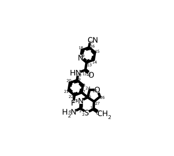 C=C1SC(N)=NC2(c3cc(NC(=O)c4ccc(C#N)cn4)ccc3F)COCC12